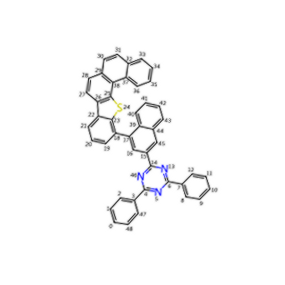 c1ccc(-c2nc(-c3ccccc3)nc(-c3cc(-c4cccc5c4sc4c5ccc5ccc6ccccc6c54)c4ccccc4c3)n2)cc1